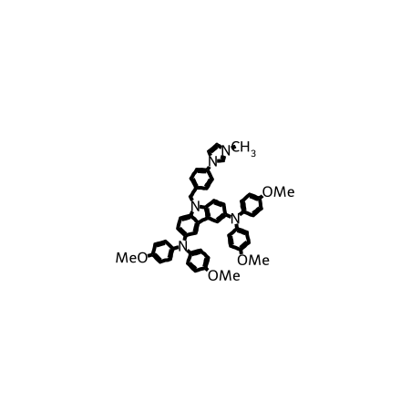 COc1ccc(N(c2ccc(OC)cc2)c2ccc3c(c2)c2cc(N(c4ccc(OC)cc4)c4ccc(OC)cc4)ccc2n3Cc2ccc(-n3cc[n+](C)c3)cc2)cc1